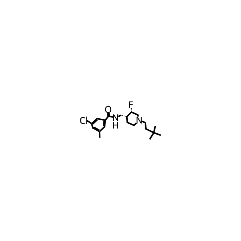 Cc1cc(Cl)cc(C(=O)NC[C@H]2CCN(CCC(C)(C)C)C[C@H]2F)c1